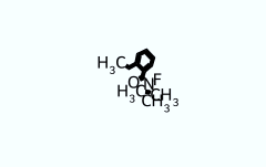 CCc1ccccc1C(=O)N(F)C(C)(C)C